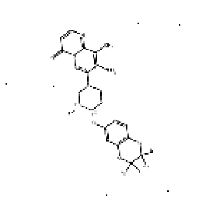 [2H]C1([2H])Oc2ccc(O[C@H]3CCN(c4nn5c(=O)ccnc5c(C)c4C)C[C@H]3F)cc2OC1([2H])[2H]